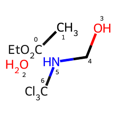 CCOC(C)=O.O.OCNC(Cl)(Cl)Cl